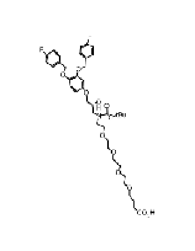 CC(C)(C)OC(=O)N(CCOCCOCCOCCOCCCC(=O)O)C[C@@H](O)COc1ccc(OCc2ccc(F)cc2)c(OCc2ccc(F)cc2)c1